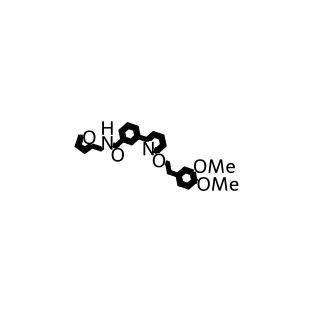 COc1ccc(CCOc2cccc(-c3cccc(C(=O)NCc4ccco4)c3)n2)cc1OC